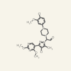 COc1ncc(-c2nn(C(C=O)N3CCN(c4ccc(Cl)c(OC)c4)CC3)c(C)c2Cl)c(OC)n1